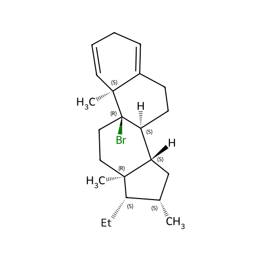 CC[C@H]1[C@@H](C)C[C@H]2[C@@H]3CCC4=CCC=C[C@]4(C)[C@@]3(Br)CC[C@]12C